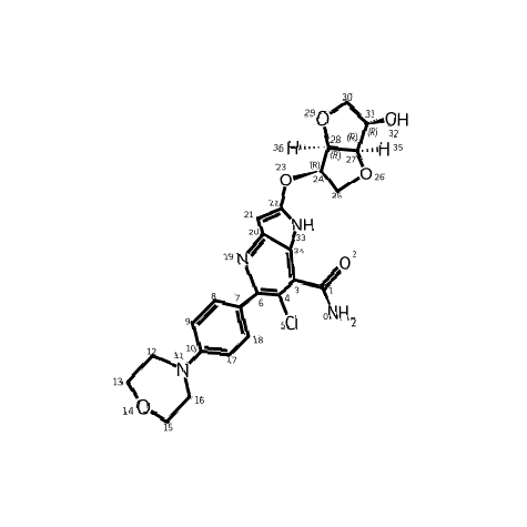 NC(=O)c1c(Cl)c(-c2ccc(N3CCOCC3)cc2)nc2cc(O[C@@H]3CO[C@H]4[C@@H]3OC[C@H]4O)[nH]c12